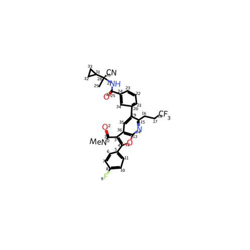 CNC(=O)c1c(-c2ccc(F)cc2)oc2nc(CCC(F)(F)F)c(-c3cccc(C(=O)N[C@@](C)(C#N)C4CC4)c3)cc12